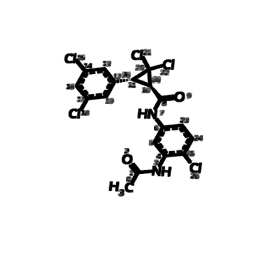 CC(=O)Nc1cc(NC(=O)[C@H]2[C@H](c3cc(Cl)cc(Cl)c3)C2(Cl)Cl)ccc1Cl